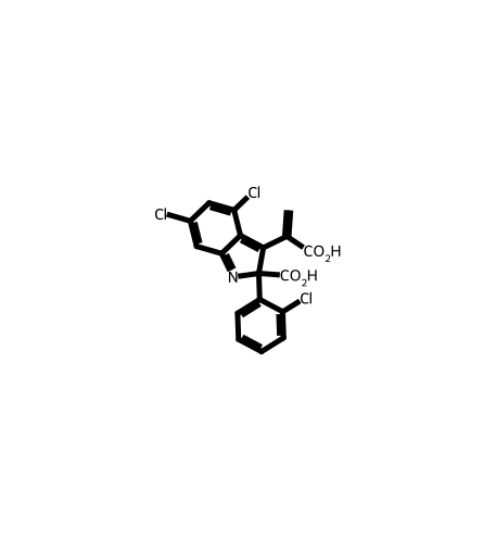 C=C(C(=O)O)C1=c2c(Cl)cc(Cl)cc2=NC1(C(=O)O)c1ccccc1Cl